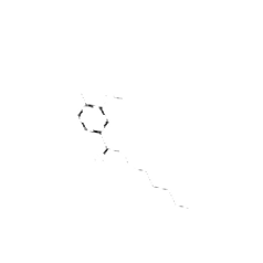 [CH2]CCCCOOC(=O)c1ccc(OC)c(OC)c1